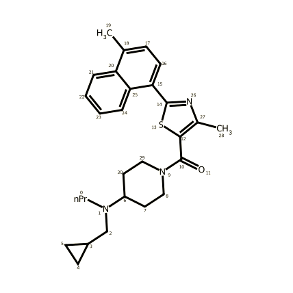 CCCN(CC1CC1)C1CCN(C(=O)c2sc(-c3ccc(C)c4ccccc34)nc2C)CC1